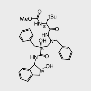 COC(=O)N[C@H](C(=O)NN(Cc1ccccc1)C[C@@](O)(Cc1ccccc1)C(=O)NC1c2ccccc2C[C@H]1O)C(C)(C)C